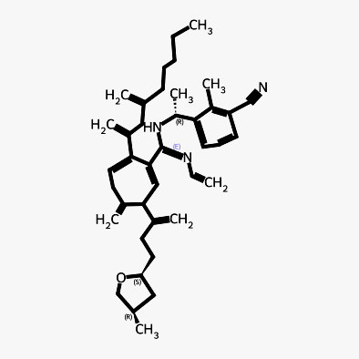 C=C/N=C(/N[C@H](C)c1cccc(C#N)c1C)C1=CC(C(=C)CC[C@H]2C[C@@H](C)CO2)C(=C)CC=C1C(=C)CC(=C)CCCCC